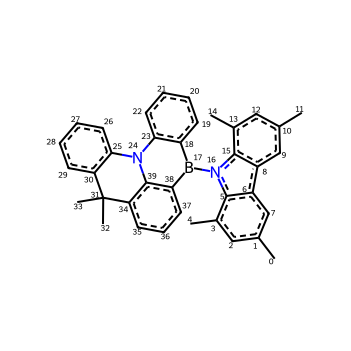 Cc1cc(C)c2c(c1)c1cc(C)cc(C)c1n2B1c2ccccc2N2c3ccccc3C(C)(C)c3cccc1c32